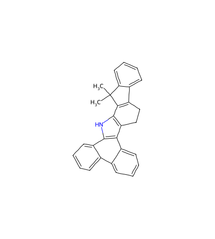 CC1(C)C2=C(CCc3c2[nH]c2c4ccccc4c4ccccc4c32)c2ccccc21